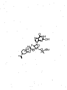 C=C(C)[C@@H]1CC[C@](C)(S)[C@@H](O[PH](=S)O[C@H]2[C@@H](F)[C@H](n3cnc4c(=O)[nH]c(O)nc43)O[C@@H]2CO[Si](C)(C)C(C)(C)C)C1